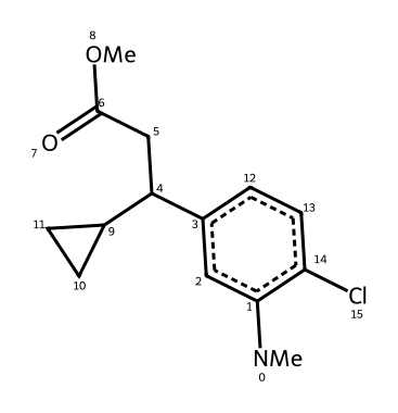 CNc1cc(C(CC(=O)OC)C2CC2)ccc1Cl